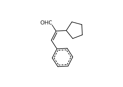 O=CC(=Cc1ccccc1)C1CCCC1